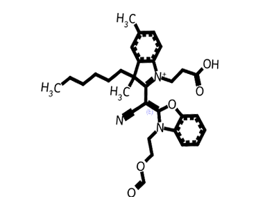 CCCCCCC1(C)C(/C(C#N)=C2\Oc3ccccc3N2CCOC=O)=[N+](CCC(=O)O)c2ccc(C)cc21